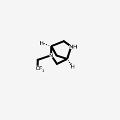 FC(F)(F)CN1C[C@H]2C[C@@H]1CN2